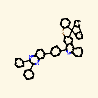 c1ccc(-c2nc3ccc(-c4ccc(-c5nc6ccccc6c6cc7c(cc56)Sc5ccccc5C75c6ccccc6-c6ccccc65)cc4)cc3nc2-c2ccccc2)cc1